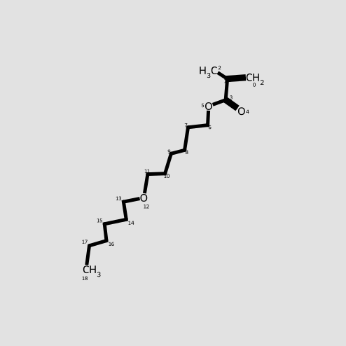 C=C(C)C(=O)OCCCCCCOCCCCCC